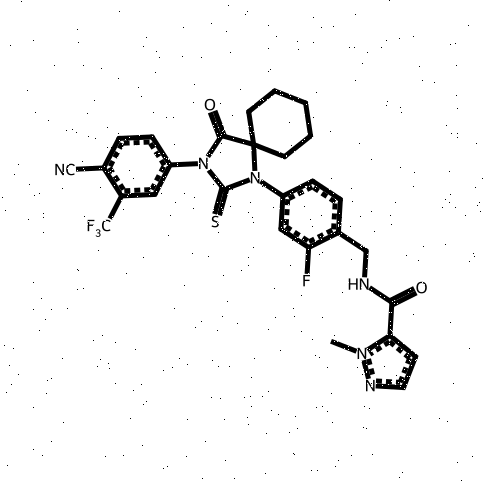 Cn1nccc1C(=O)NCc1ccc(N2C(=S)N(c3ccc(C#N)c(C(F)(F)F)c3)C(=O)C23CCCCC3)cc1F